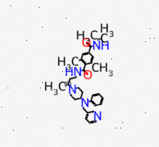 Cc1cc(C(=O)NC(C)C)cc(C)c1C(=O)NCC[C@@H](C)N1CCC(N(Cc2cccnc2)c2ccccc2)CC1